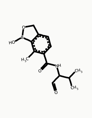 Cc1c(C(=O)NC(C=O)C(C)C)ccc2c1B(O)OC2